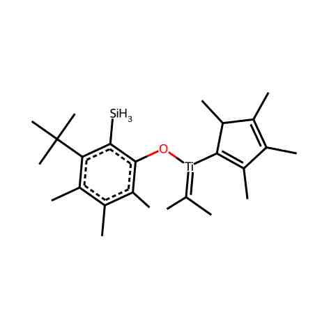 CC1=C(C)C(C)[C]([Ti]([O]c2c(C)c(C)c(C)c(C(C)(C)C)c2[SiH3])=[C](C)C)=C1C